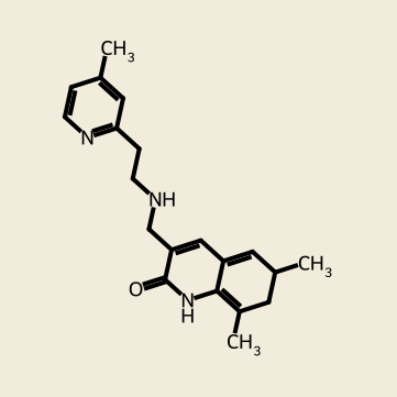 CC1=c2[nH]c(=O)c(CNCCc3cc(C)ccn3)cc2=CC(C)C1